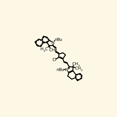 CCCCN1/C(=C/C=C2\CCC(/C=C/C3=[N+](CCCC)C4=C(c5ccccc5CC4)C3(C)C)=C2Cl)C(C)(C)c2c1ccc1ccccc21